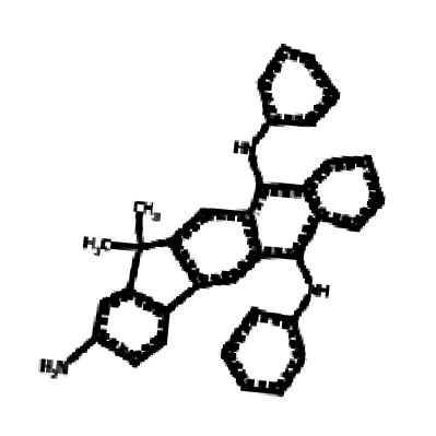 CC1(C)c2cc(N)ccc2-c2cc3c(Nc4ccccc4)c4ccccc4c(Nc4ccccc4)c3cc21